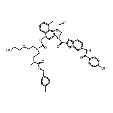 Cc1ccc(COC(=O)N(C)CCN(CCOCCO)C(=O)Oc2cc3c(c4c(C)cccc24)[C@H](CCl)CN3C(=O)c2cn3cc(NC(=O)c4ccc(O)cc4)ccc3n2)cc1